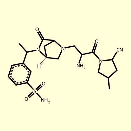 CC1CC(C#N)N(C(=O)C(N)CN2C[C@@H]3CC2C(=O)N3C(C)c2cccc(S(N)(=O)=O)c2)C1